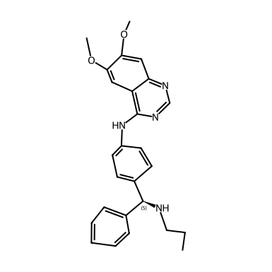 CCCN[C@@H](c1ccccc1)c1ccc(Nc2ncnc3cc(OC)c(OC)cc23)cc1